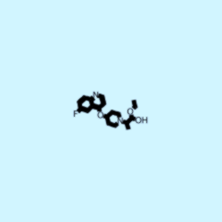 CCOC(O)C(C)N1CCC(Oc2ccnc3ccc(F)cc23)CC1